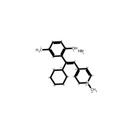 Br.Cc1ccc(O)c(/C(=C/C2=CCN(C)C=C2)C2CCCCC2)c1